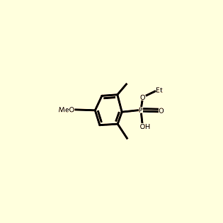 CCOP(=O)(O)c1c(C)cc(OC)cc1C